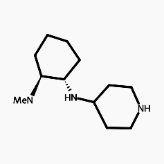 CN[C@H]1CCCC[C@@H]1NC1CCNCC1